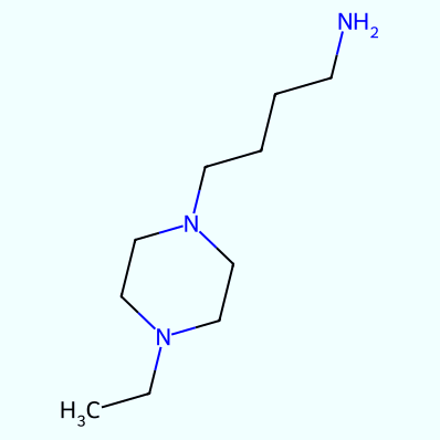 CCN1CCN(CCCCN)CC1